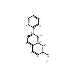 COc1ccc2cnc(-c3ccccc3)nc2c1